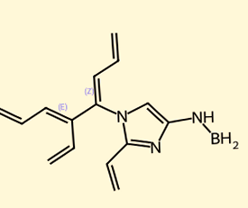 BNc1cn(C(=C\C=C)/C(C=C)=C/C=C)c(C=C)n1